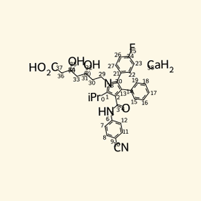 CC(C)c1c(C(=O)Nc2ccc(C#N)cc2)c(-c2ccccc2)c(-c2ccc(F)cc2)n1CC[C@@H](O)C[C@@H](O)CC(=O)O.[CaH2]